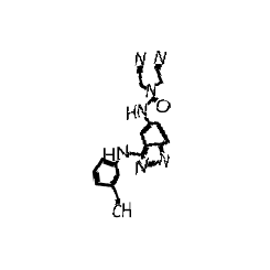 C#Cc1cccc(Nc2ncnc3ccc(NC(=O)N(CC#N)CC#N)cc23)c1